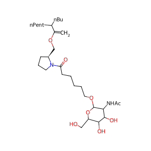 C=C(OC[C@@H]1CCCN1C(=O)CCCCCOC1OC(CO)C(O)C(O)C1NC(C)=O)C(CCCC)CCCCC